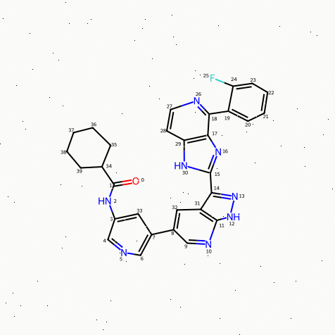 O=C(Nc1cncc(-c2cnc3[nH]nc(-c4nc5c(-c6ccccc6F)nccc5[nH]4)c3c2)c1)C1CCCCC1